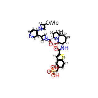 COC1CN(c2ccncc2C2CN(C(=O)[C@@H]3CC[C@@H]4CCC[C@H](NC(=O)c5cc6cc(CP(=O)(O)O)ccc6s5)C(=O)N43)C2)C1